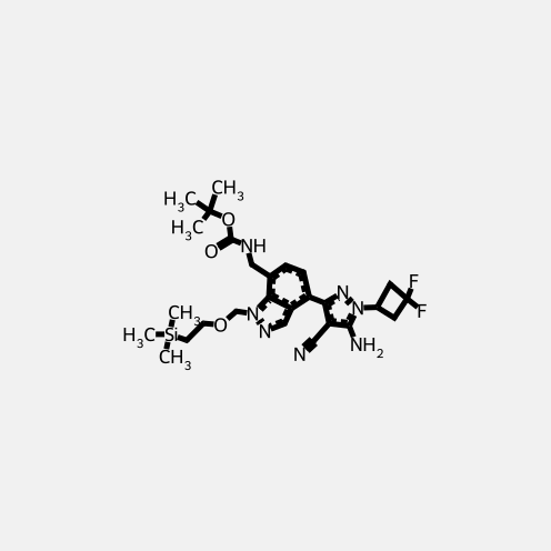 CC(C)(C)OC(=O)NCc1ccc(-c2nn(C3CC(F)(F)C3)c(N)c2C#N)c2cnn(COCC[Si](C)(C)C)c12